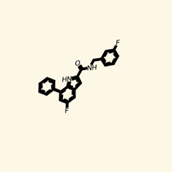 O=C(NCc1cccc(F)c1)c1cc2cc(F)cc(-c3ccccc3)c2[nH]1